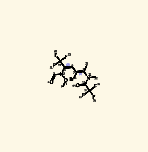 CON(C=O)/C(=C\C(Br)=C(/C)N(C)C(=O)C(F)(F)F)C(F)(F)F